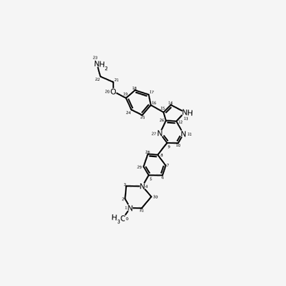 CN1CCN(c2ccc(-c3cnc4[nH]cc(-c5ccc(OCCN)cc5)c4n3)cc2)CC1